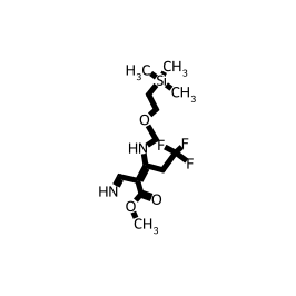 COC(=O)/C(C=N)=C(\CC(F)(F)F)NCOCC[Si](C)(C)C